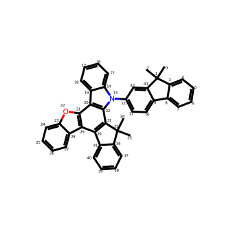 CC1(C)c2ccccc2-c2ccc(-n3c4ccccc4c4c5oc6ccccc6c5c5c(c43)C(C)(C)c3ccccc3-5)cc21